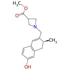 COC(=O)C1CN(CC2=Cc3ccc(O)cc3C[C@@H]2C)C1